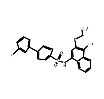 O=C(O)CSc1cc(NS(=O)(=O)c2ccc(-c3cccc(F)c3)cc2)c2ccccc2c1O